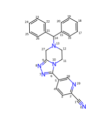 N#Cc1ccc(-c2nnc3n2CCN(C(c2ccccc2)c2ccccc2)C3)cn1